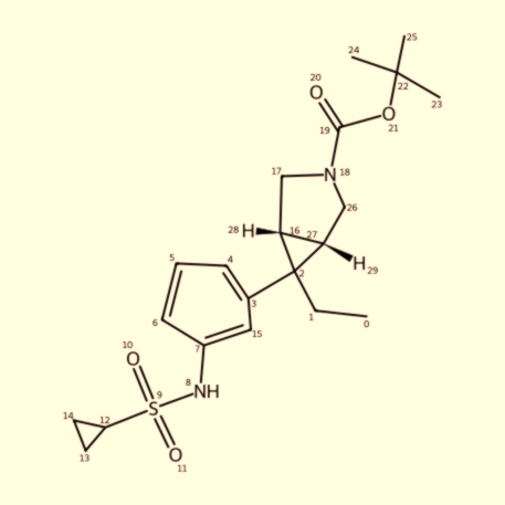 CCC1(c2cccc(NS(=O)(=O)C3CC3)c2)[C@@H]2CN(C(=O)OC(C)(C)C)C[C@@H]21